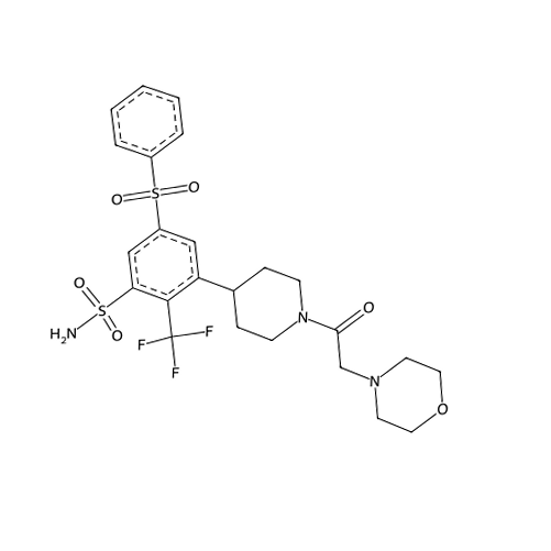 NS(=O)(=O)c1cc(S(=O)(=O)c2ccccc2)cc(C2CCN(C(=O)CN3CCOCC3)CC2)c1C(F)(F)F